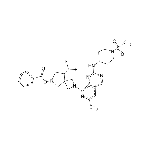 Cc1cc2cnc(NC3CCN(S(C)(=O)=O)CC3)nc2c(N2CC3(CN(OC(=O)c4ccccc4)CC3C(F)F)C2)n1